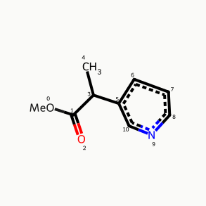 COC(=O)C(C)c1cccnc1